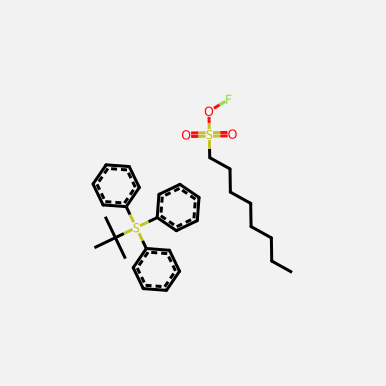 CC(C)(C)S(c1ccccc1)(c1ccccc1)c1ccccc1.CCCCCCCCS(=O)(=O)OF